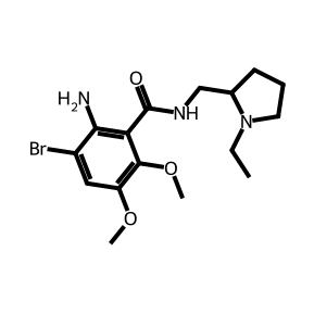 CCN1CCCC1CNC(=O)c1c(N)c(Br)cc(OC)c1OC